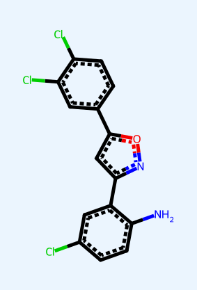 Nc1ccc(Cl)cc1-c1cc(-c2ccc(Cl)c(Cl)c2)on1